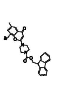 Cc1cc(Br)c2oc(N3CCN(C(=O)OCC4c5ccccc5-c5ccccc54)CC3)cc(=O)c2c1